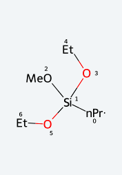 CC[CH][Si](OC)(OCC)OCC